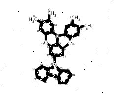 Cc1cc2c(cc1C)B1c3cc(C)c(C)cc3Oc3cc(-n4c5ccccc5c5ccccc54)cc(c31)O2